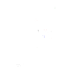 COc1ccc(CS[C@@H]2C[C@@H](CCC(=O)c3ccc(F)cc3)N(S(C)(=O)=O)C2)cc1